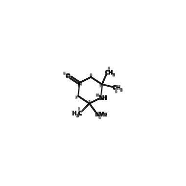 CNC1(C)CC(=O)CC(C)(C)N1